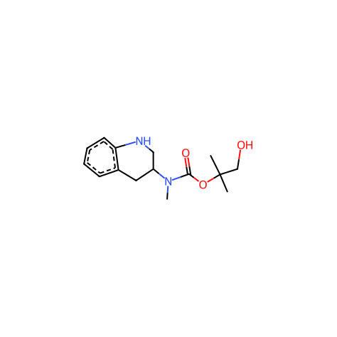 CN(C(=O)OC(C)(C)CO)C1CNc2ccccc2C1